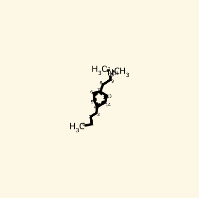 CCCCc1ccc(CCN(C)C)cc1